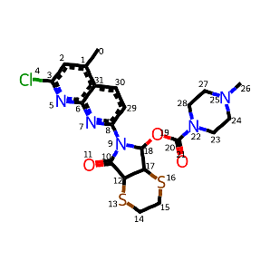 Cc1cc(Cl)nc2nc(N3C(=O)C4SCCSC4C3OC(=O)N3CCN(C)CC3)ccc12